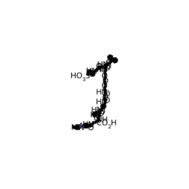 CN(C)c1ccc(/N=N/c2ccc(C(=O)NCCCC[C@H](NC(=O)CNC(=O)[C@H](CC3CCCCC3)NC(=O)c3ccc(CNC(=O)COCC(=O)NCCCOCCOCCOCCCNC(=O)[C@H](CCC(=O)NCCNc4cccc5c(S(=O)(=O)O)cccc45)NC(=O)OCC4c5ccccc5-c5ccccc54)cc3)C(=O)O)cc2)cc1